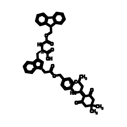 CC(C)CC(Nc1ccc(COC(=O)Cn2cc(C[C@H](NC(=O)OCC3c4ccccc4-c4ccccc43)C(=O)O)c3ccccc32)cc1)=C1C(=O)CC(C)(C)CC1=O